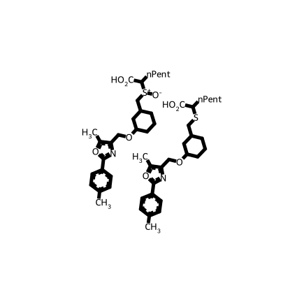 CCCCCC(C(=O)O)[S+]([O-])CC1CCCC(OCc2nc(-c3ccc(C)cc3)oc2C)C1.CCCCCC(SCC1CCCC(OCc2nc(-c3ccc(C)cc3)oc2C)C1)C(=O)O